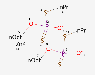 CCCCCCCCOP([O-])(=S)SCCC.CCCCCCCCOP([O-])(=S)SCCC.[Zn+2]